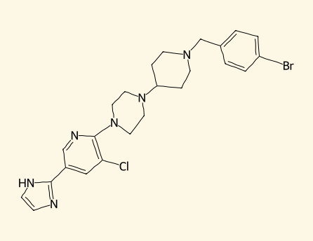 Clc1cc(-c2ncc[nH]2)cnc1N1CCN(C2CCN(Cc3ccc(Br)cc3)CC2)CC1